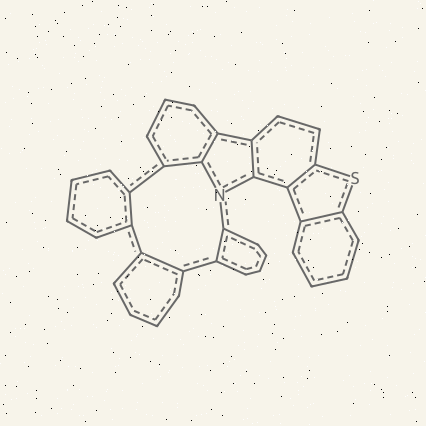 c1ccc2c(c1)sc1ccc3c4cccc5c6ccccc6c6ccccc6c6ccccc6n(c54)c3c12